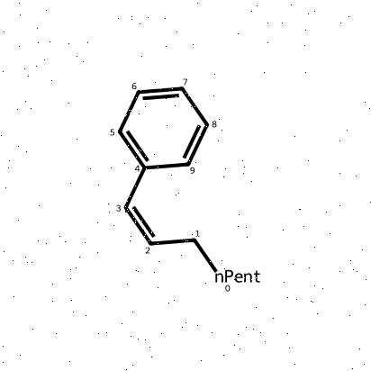 CCCCCC/C=[C]\c1ccccc1